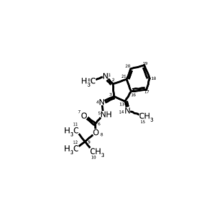 C\N=c1c(=N/NC(=O)OC(C)(C)C)/c(=N/C)c2ccccc/12